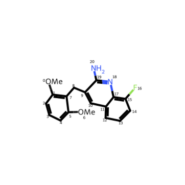 COc1cccc(OC)c1Cc1cc2cccc(F)c2nc1N